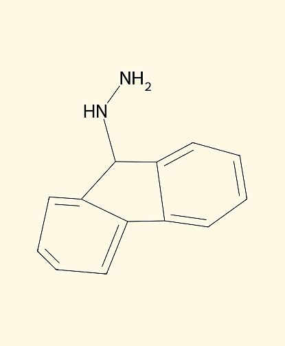 NNC1c2ccccc2-c2ccccc21